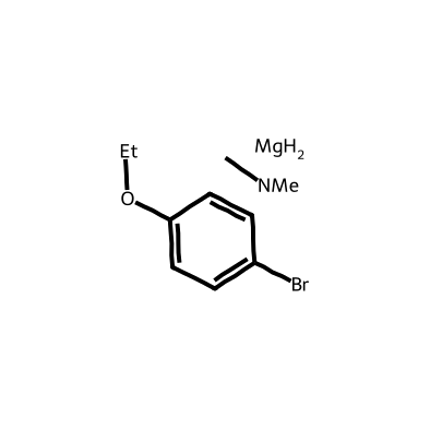 CCOc1ccc(Br)cc1.CNC.[MgH2]